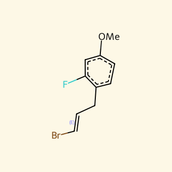 COc1ccc(C/C=C/Br)c(F)c1